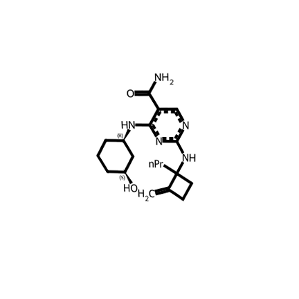 C=C1CCC1(CCC)Nc1ncc(C(N)=O)c(N[C@@H]2CCC[C@H](O)C2)n1